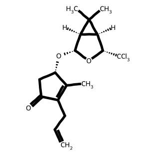 C=CCC1=C(C)[C@@H](O[C@H]2O[C@@H](C(Cl)(Cl)Cl)[C@H]3[C@@H]2C3(C)C)CC1=O